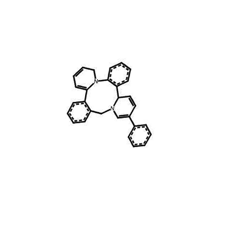 C1=CCN2C(=C1)c1ccccc1CN1C=C(c3ccccc3)C=CC1c1ccccc12